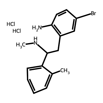 CNC(Cc1cc(Br)ccc1N)c1ccccc1C.Cl.Cl